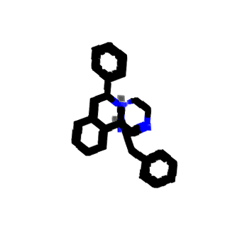 C1=CC2=CC(c3ccccc3)[N@+]34CCN=C[C@]3(C2=CC1)C(Cc1ccccc1)NCC4